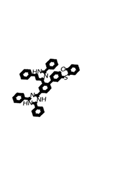 C1=C(c2ccccc2)NC(c2ccccc2)N=C1c1cc(C2N=C(c3ccccc3)NC(c3ccccc3)N2)ccc1-c1ccc2c(c1)Sc1ccccc1O2